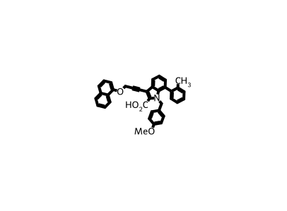 COc1ccc(Cn2c(C(=O)O)c(C#CCOc3cccc4ccccc34)c3cccc(-c4ccccc4C)c32)cc1